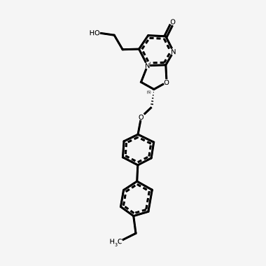 CCc1ccc(-c2ccc(OC[C@@H]3Cn4c(CCO)cc(=O)nc4O3)cc2)cc1